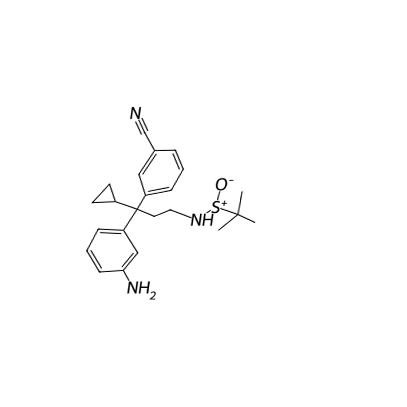 CC(C)(C)[S+]([O-])NCCC(c1cccc(N)c1)(c1cccc(C#N)c1)C1CC1